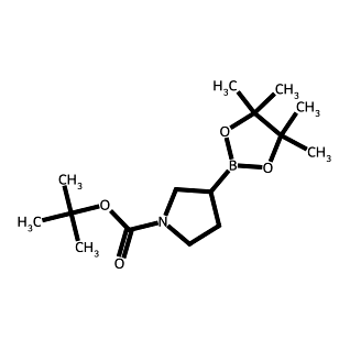 CC(C)(C)OC(=O)N1CCC(B2OC(C)(C)C(C)(C)O2)C1